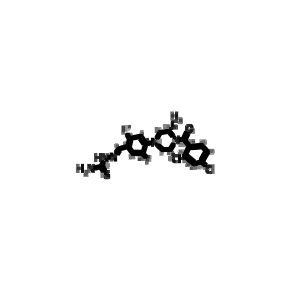 C[C@@H]1CN(c2cc(F)c(C=NNC(N)=S)cc2F)C[C@H](C)N1C(=O)c1ccc(Cl)cc1